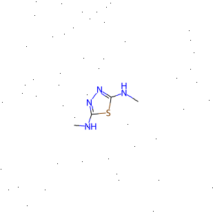 CNc1nnc(NC)s1